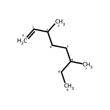 C=CC(C)CCC(C)CC